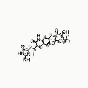 CC(C)(C)ON(O)C(=O)[C@H](Cc1ccc2c(c1)NC(=O)C(CCC1NC(=N)NC1=O)O2)C(=O)O